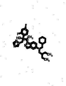 CCC(CC)CN(CC1CCCCC1)c1ccc2c(cnn2[C@H](C)[C@](O)(Cn2cncn2)c2ccc(F)cc2F)c1